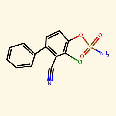 N#Cc1c(-c2ccccc2)ccc(OS(N)(=O)=O)c1Cl